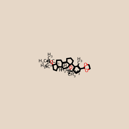 Cc1c(C2OCCO2)cccc1C1CCCC2=C3CC[C@@]4(C)[C@@H](CC[C@@]4(C#N)O[Si](C)(C)C)[C@@H]3CC[C@]21O[Si](C)(C)C